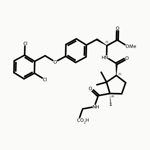 COC(=O)[C@H](Cc1ccc(OCc2c(Cl)cccc2Cl)cc1)NC(=O)[C@H]1CC[C@@](C)(C(=O)NCC(=O)O)C1(C)C